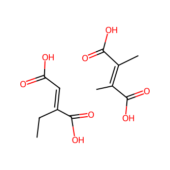 C/C(C(=O)O)=C(/C)C(=O)O.CC/C(=C\C(=O)O)C(=O)O